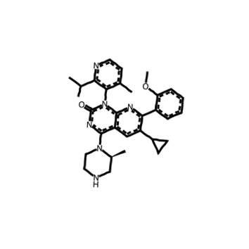 COc1ccccc1-c1nc2c(cc1C1CC1)c(N1CCNC[C@@H]1C)nc(=O)n2-c1c(C)ccnc1C(C)C